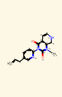 C=CCc1ccc(-n2c(=O)c3c(n(C)c2=O)CNC=C3)nc1